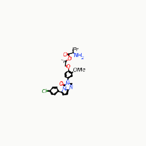 COc1cc(-n2cnc3ccc(-c4ccc(Cl)cc4)n3c2=O)ccc1OC[C@H](C)OC(=O)C(N)C(C)C